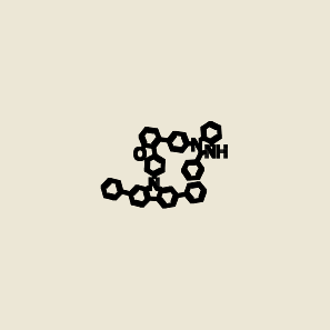 c1ccc(-c2ccc3c4ccc(-c5ccccc5)cc4n(-c4ccc5c(c4)oc4cccc(-c6ccc(N7c8ccccc8NC7c7ccccc7)cc6)c45)c3c2)cc1